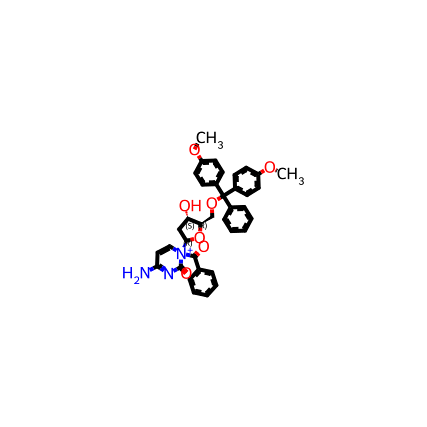 COc1ccc(C(OC[C@H]2O[C@@H]([N+]3(C(=O)c4ccccc4)C=CC(N)=NC3=O)C[C@@H]2O)(c2ccccc2)c2ccc(OC)cc2)cc1